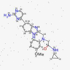 COc1cccc(N(CC(=O)NC2CC2)Cc2nc3cc(-c4ccnc(N)n4)ccc3[nH]2)c1